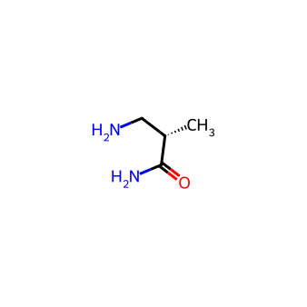 C[C@@H](CN)C(N)=O